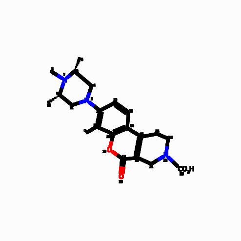 Cc1c(N2C[C@@H](C)N(C)[C@@H](C)C2)ccc2c3c(c(=O)oc12)CN(C(=O)O)CC3